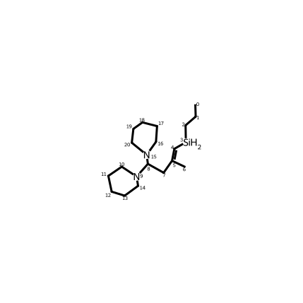 CCC[SiH2]C=C(C)CC(N1CCCCC1)N1CCCCC1